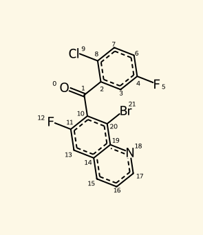 O=C(c1cc(F)ccc1Cl)c1c(F)cc2cccnc2c1Br